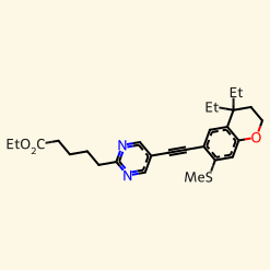 CCOC(=O)CCCCc1ncc(C#Cc2cc3c(cc2SC)OCCC3(CC)CC)cn1